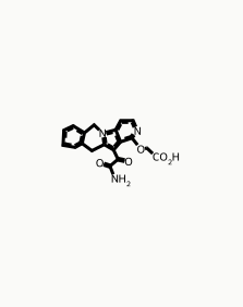 NC(=O)C(=O)c1c2n(c3ccnc(OCC(=O)O)c13)Cc1ccccc1C2